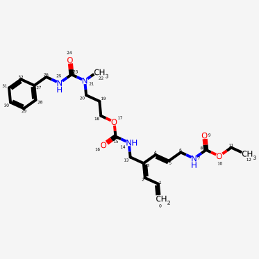 C=C/C=C(\C=C\CNC(=O)OCC)CNC(=O)OCCCN(C)C(=O)NCc1ccccc1